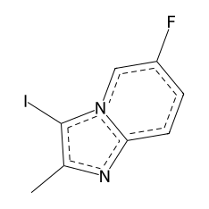 Cc1nc2ccc(F)cn2c1I